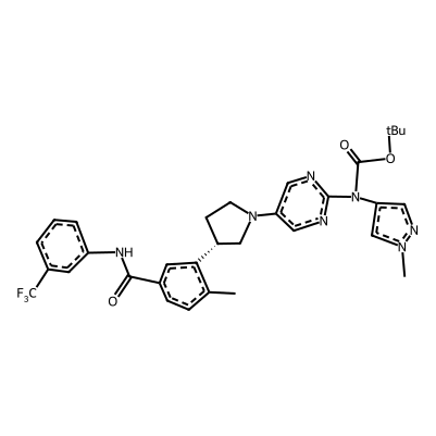 Cc1ccc(C(=O)Nc2cccc(C(F)(F)F)c2)cc1[C@@H]1CCN(c2cnc(N(C(=O)OC(C)(C)C)c3cnn(C)c3)nc2)C1